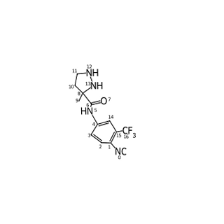 [C-]#[N+]c1ccc(NC(=O)C2(C)CCNN2)cc1C(F)(F)F